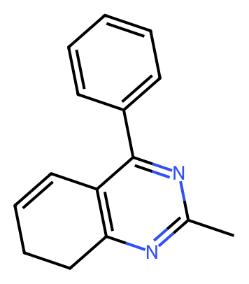 Cc1nc2c(c(-c3ccccc3)n1)C=CCC2